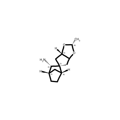 C[C@@H]1OC2C[C@]3(C[C@@H]2O1)[C@@H]1CC[C@@H](C1)[C@@H]3N